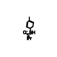 CC1=CCC(N[S+]([O-])C(C)C)C=C1